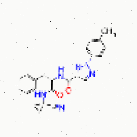 Cc1ccc(-n2ncc(C(=O)N[C@@H](Cc3ccccc3)C(=O)NC3(C#N)CC3)n2)cc1